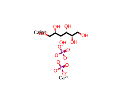 O=P([O-])([O-])[O-].O=P([O-])([O-])[O-].OC[C@@H](O)[C@@H](O)[C@H](O)[C@H](O)CO.[Ca+2].[Ca+2].[Ca+2]